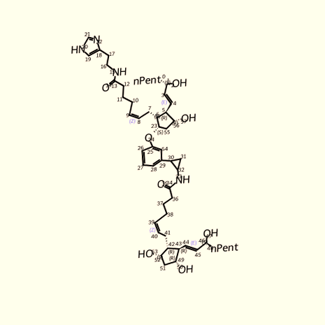 CCCCC[C@H](O)/C=C/[C@@H]1[C@@H](C/C=C\CCCC(=O)NCCc2c[nH]cn2)[C@@H](Oc2cccc(C3CC3NC(=O)CCC/C=C\C[C@@H]3[C@@H](/C=C/[C@@H](O)CCCCC)[C@H](O)C[C@@H]3O)c2)C[C@H]1O